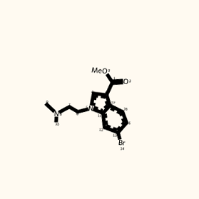 COC(=O)c1cn(CCN(C)C)c2cc(Br)ccc12